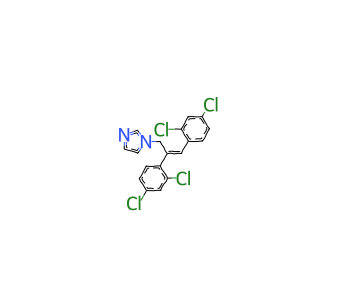 Clc1ccc(C=C(Cn2ccnc2)c2ccc(Cl)cc2Cl)c(Cl)c1